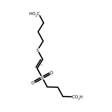 O=C(O)CCCS/C=C/S(=O)(=O)CCCC(=O)O